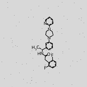 C[C@H](NC(=O)Cc1c(F)cccc1F)c1cccc(N2CCN(c3ccccn3)CC2)c1